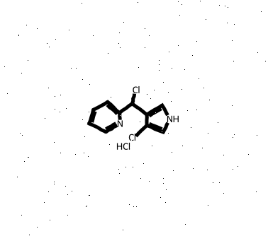 Cl.Clc1c[nH]cc1C(Cl)c1ccccn1